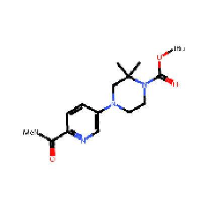 CNC(=O)c1ccc(N2CCN(C(=O)OC(C)(C)C)C(C)(C)C2)cn1